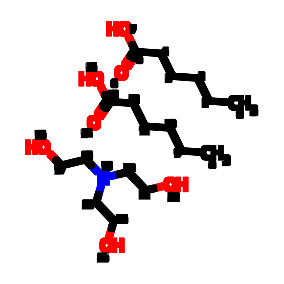 CCCCCC(=O)O.CCCCCC(=O)O.OCCN(CCO)CCO